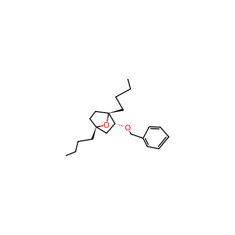 CCCC[C@@]12CC[C@@](CCCC)(O1)[C@H](OCc1ccccc1)C2